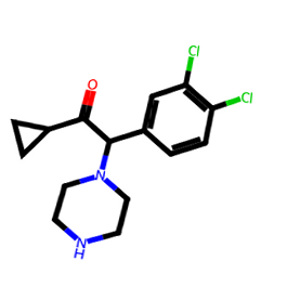 O=C(C1CC1)C(c1ccc(Cl)c(Cl)c1)N1CCNCC1